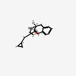 c1ccc2c(c1)C[C@H]1NCC[C@@]23CCC(CC2CC2)C[C@@H]13